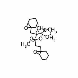 CO[Si](CCC12CCCCC1O2)(CCC12CCCCC1O2)O[Si](OC)(OC)OC